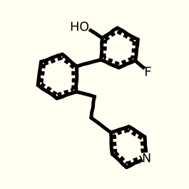 Oc1ccc(F)cc1-c1ccccc1CCc1ccncc1